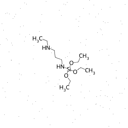 CCNCCCN[Si](OCC)(OCC)OCC